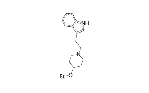 CCOC1CCN(CCc2c[nH]c3ccccc23)CC1